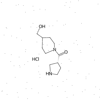 Cl.O=C([C@@H]1CCNC1)N1CCC(CO)CC1